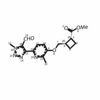 COC(=O)[C@@H]1CC[C@H]1COc1ccc(-c2nnn(C)c2C=O)nc1C